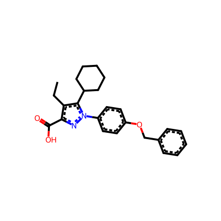 CCc1c(C(=O)O)nn(-c2ccc(OCc3ccccc3)cc2)c1C1CCCCC1